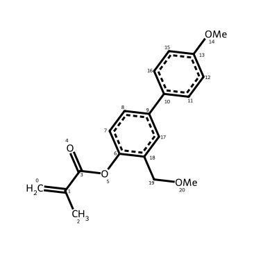 C=C(C)C(=O)Oc1ccc(-c2ccc(OC)cc2)cc1COC